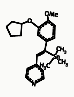 COc1ccc([C](=Cc2ccncc2)[Sn]([CH3])([CH3])[CH3])cc1OC1CCCC1